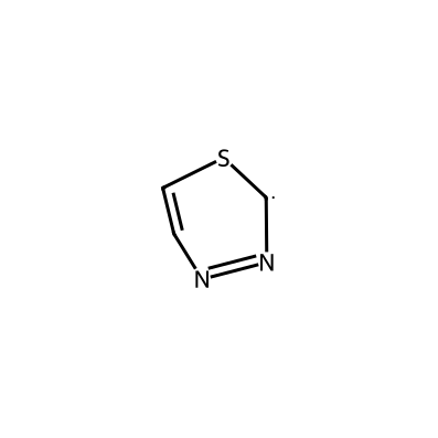 [CH]1N=NC=CS1